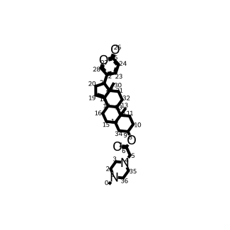 CN1CCN(CC(=O)OC2CCC3(C)C(CCC4C5=CCC(c6ccc(=O)oc6)C5(C)CCC43)C2)CC1